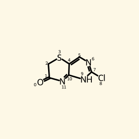 O=C1CSC2=CN=C(Cl)NC2=N1